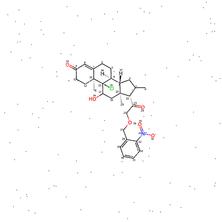 CC1C[C@H]2[C@@H]3CCC4=CC(=O)CC[C@]4(C)[C@@]3(Cl)C(O)C[C@]2(C)[C@H]1C(=O)COCc1ccccc1[N+](=O)[O-]